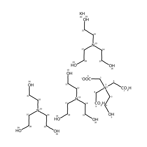 O=C([O-])C[N+](CCO)(CC(=O)O)CC(=O)O.OCCN(CCO)CCO.OCCN(CCO)CCO.OCCN(CCO)CCO.[KH]